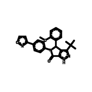 COc1ccccc1C1c2c(C(C)(C)C)n[nH]c2C(=O)N1c1ccc(-c2ccon2)cc1